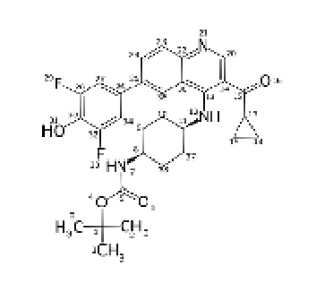 CC(C)(C)OC(=O)N[C@H]1CC[C@@H](Nc2c(C(=O)C3CC3)cnc3ccc(-c4cc(F)c(O)c(F)c4)cc23)CC1